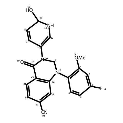 COc1cc(F)ccc1N1CN(C2=CNC(O)C=C2)C(=O)c2ccc(C#N)cc21